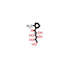 [CH2]c1ccccc1C(=O)[C@H](O)[C@@H](O)[C@H](O)[C@H](O)CO